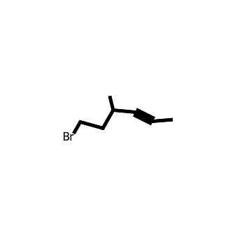 CC#CC(C)CCBr